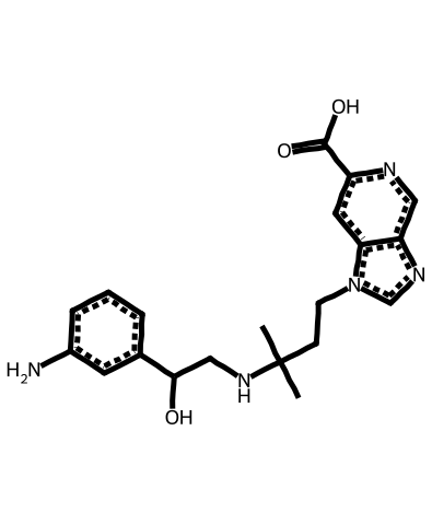 CC(C)(CCn1cnc2cnc(C(=O)O)cc21)NCC(O)c1cccc(N)c1